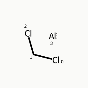 ClCCl.[Al]